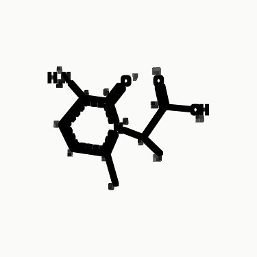 Cc1ccc(N)c(=O)n1C(C)C(=O)O